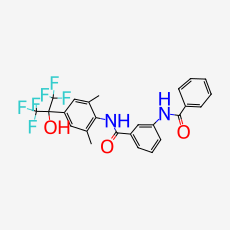 Cc1cc(C(O)(C(F)(F)F)C(F)(F)F)cc(C)c1NC(=O)c1cccc(NC(=O)c2ccccc2)c1